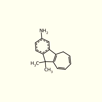 CC1(C)C2=C(CC=CC=C2)c2cc(N)ccc21